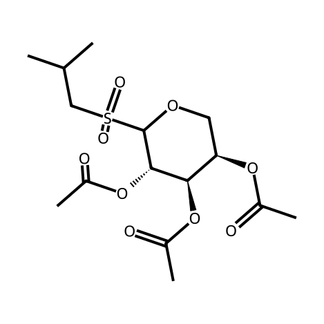 CC(=O)O[C@H]1[C@H](OC(C)=O)C(S(=O)(=O)CC(C)C)OC[C@H]1OC(C)=O